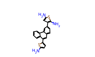 Nc1ccc(-c2cc3ccc(-c4cc(N)sc4N)cc3c3ccccc23)s1